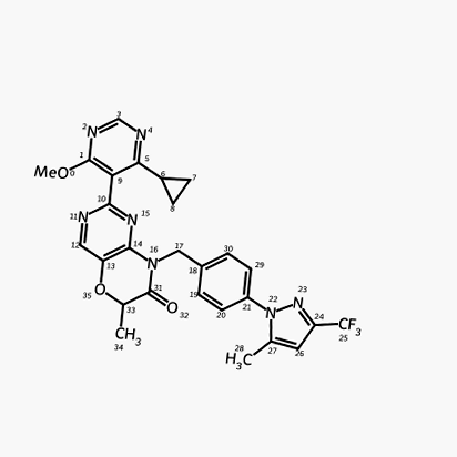 COc1ncnc(C2CC2)c1-c1ncc2c(n1)N(Cc1ccc(-n3nc(C(F)(F)F)cc3C)cc1)C(=O)C(C)O2